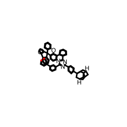 c1ccc(-c2cccc(-c3nc(-c4ccc(C56C[C@@H]7CC8C[C@H](C5)C8(C7)C6)cc4)nc(-c4ccccc4-c4cccc5c4Oc4ccccc4C54c5ccccc5-c5ccccc54)n3)c2)cc1